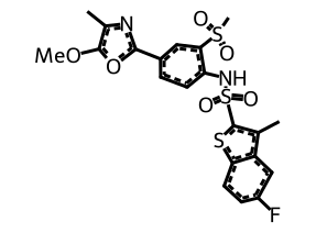 COc1oc(-c2ccc(NS(=O)(=O)c3sc4ccc(F)cc4c3C)c(S(C)(=O)=O)c2)nc1C